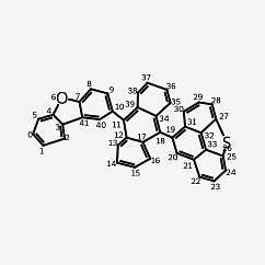 c1ccc2c(c1)oc1ccc(-c3c4ccccc4c(-c4cc5cccc6sc7cccc4c7c56)c4ccccc34)cc12